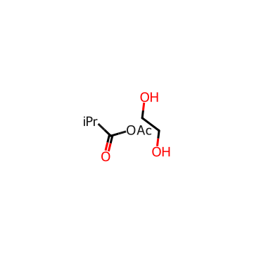 CC(=O)OC(=O)C(C)C.OCCO